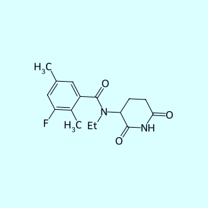 CCN(C(=O)c1cc(C)cc(F)c1C)C1CCC(=O)NC1=O